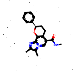 CNC(=O)c1cn2c(C)c(C)nc2c2c1CC[C@H](c1ccccc1)O2